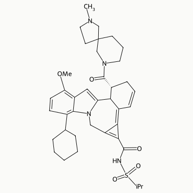 COc1ccc(C2CCCCC2)c2c1cc1n2CC2=C(C(=O)NS(=O)(=O)C(C)C)C2=C2C=CC[C@@H](C(=O)N3CCCC4(CCN(C)C4)C3)C21